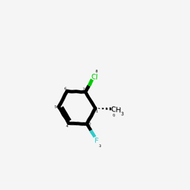 C[C@@H]1C(F)C=CCC1Cl